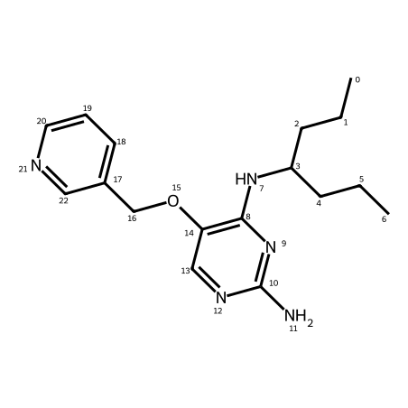 CCCC(CCC)Nc1nc(N)ncc1OCc1cccnc1